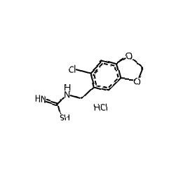 Cl.N=C(S)NCc1cc2c(cc1Cl)OCO2